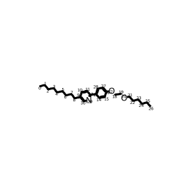 CCCCCCCCCc1ccc(-c2ccc(OCCOCCCCCC)cc2)nc1